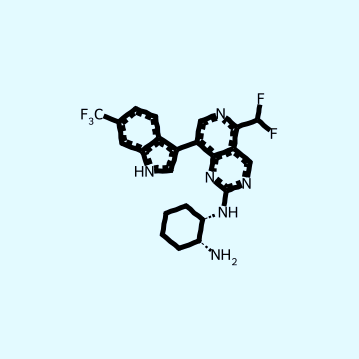 N[C@@H]1CCCC[C@@H]1Nc1ncc2c(C(F)F)ncc(-c3c[nH]c4cc(C(F)(F)F)ccc34)c2n1